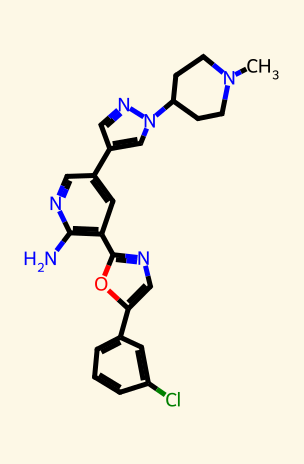 CN1CCC(n2cc(-c3cnc(N)c(-c4ncc(-c5cccc(Cl)c5)o4)c3)cn2)CC1